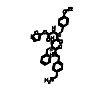 CCOc1ccc(C[C@@H](NC(=O)Oc2ccno2)C(=O)N[C@@H](Cc2ccccc2)C(=O)NCc2ccc(CN)cc2)cc1